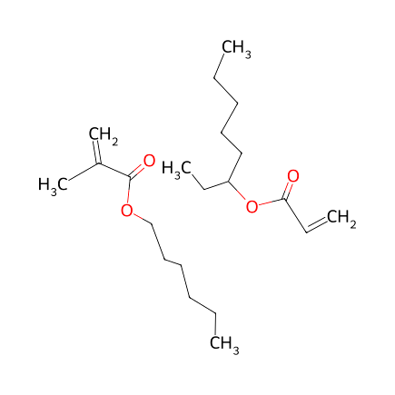 C=C(C)C(=O)OCCCCCC.C=CC(=O)OC(CC)CCCCC